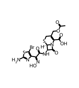 CC(=O)OCC1=C(C(=O)O)N2C(=O)[C@@H](NC(=O)C(=NO)c3nc(N)sc3Br)[C@H]2SC1